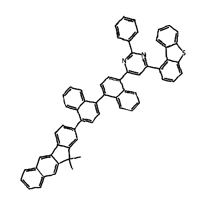 CC1(C)c2cc(-c3ccc(-c4ccc(-c5cc(-c6cccc7sc8ccccc8c67)nc(-c6ccccc6)n5)c5ccccc45)c4ccccc34)ccc2-c2cc3ccccc3cc21